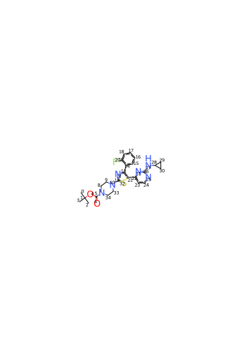 CC(C)(C)OC(=O)N1CCN(c2nc(-c3ccccc3F)c(-c3ccnc(NC4CC4)n3)s2)CC1